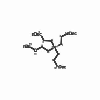 CCCCCCCCCCCC[N+](CCCCCCCCCCCC)(CCCCCCCCCCCC)CCOCCCC